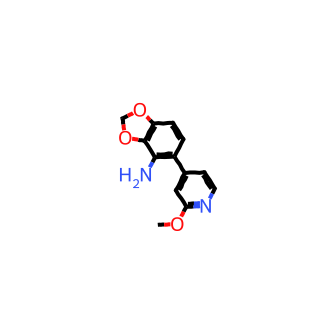 COc1cc(-c2ccc3c(c2N)OCO3)ccn1